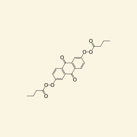 CCCC(=O)OOc1ccc2c(c1)C(=O)c1ccc(OOC(=O)CCC)cc1C2=O